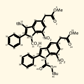 COC(=O)Cc1cc([N+](=O)[O-])c2c(c1)c(C(C)(C)C)c(-c1ccccc1)n2C(=O)O.COC(=O)Cc1cc([N+](=O)[O-])c2c(c1)cc(-c1ccccc1)n2C(=O)OC(C)(C)C